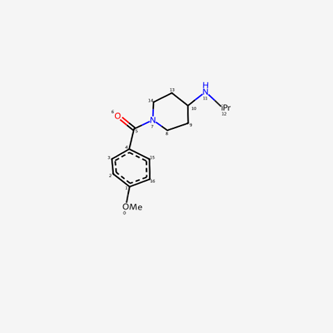 COc1ccc(C(=O)N2CCC(NC(C)C)CC2)cc1